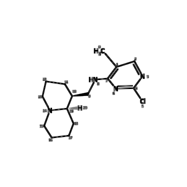 Cc1cnc(Cl)nc1NC[C@@H]1CCCN2CCCC[C@H]12